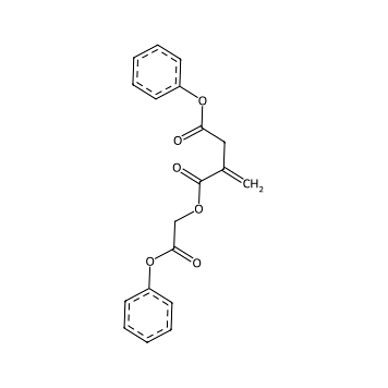 C=C(CC(=O)Oc1ccccc1)C(=O)OCC(=O)Oc1ccccc1